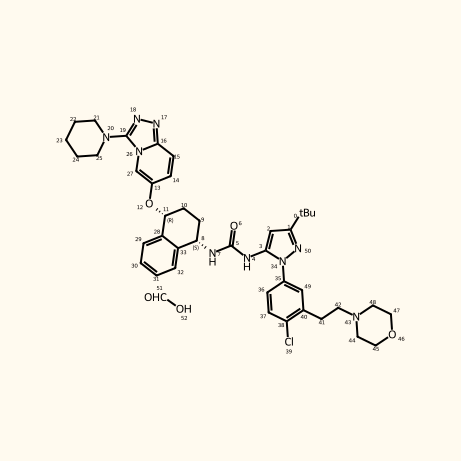 CC(C)(C)c1cc(NC(=O)N[C@H]2CC[C@@H](Oc3ccc4nnc(N5CCCCC5)n4c3)c3ccccc32)n(-c2ccc(Cl)c(CCN3CCOCC3)c2)n1.O=CO